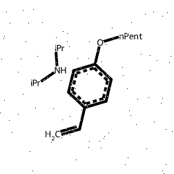 C=Cc1ccc(OCCCCC)cc1.CC(C)NC(C)C